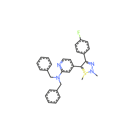 CN1N=C(c2ccc(F)cc2)C(c2ccnc(N(Cc3ccccc3)Cc3ccccc3)c2)=S1C